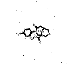 CC(C)(C)OC(=O)C12COCC(CC(=O)N(c3ccc(N)nc3)C1)N2